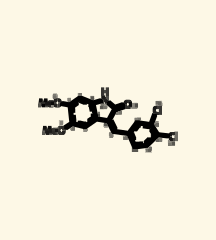 COc1cc2c(cc1OC)/C(=C/c1ccc(Cl)c(Cl)c1)C(=O)N2